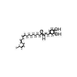 CC/C=C\C/C=C\C/C=C\CCCCCCCC(=O)NCCc1ccc(O)c(O)c1